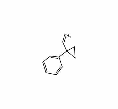 C=CC1(c2ccccc2)CC1